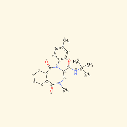 Cc1ccc(N2C(=O)C3CCCCC3C(=O)N(C)CC2C(=O)NC(C)(C)C)cc1